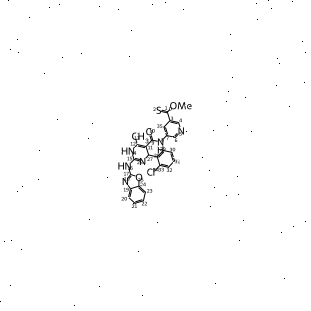 COC(=S)c1cncc(NC(=O)C2=C(C)NC(Nc3nc4ccccc4o3)=NC2c2ccccc2Cl)c1